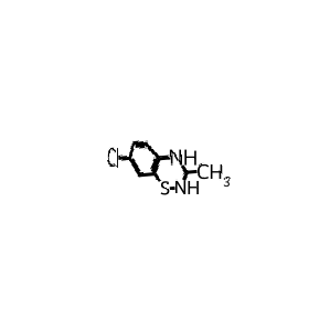 CC1NSc2cc(Cl)ccc2N1